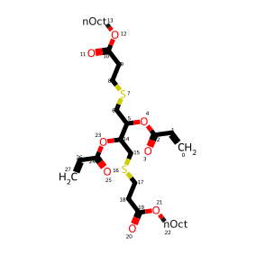 C=CC(=O)OC(CSCCC(=O)OCCCCCCCC)C(CSCCC(=O)OCCCCCCCC)OC(=O)C=C